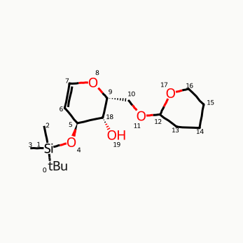 CC(C)(C)[Si](C)(C)O[C@H]1C=CO[C@H](COC2CCCCO2)[C@@H]1O